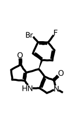 CN1CC2=C(C1=O)[C@H](c1ccc(F)c(Br)c1)C1=C(CCC1=O)N2